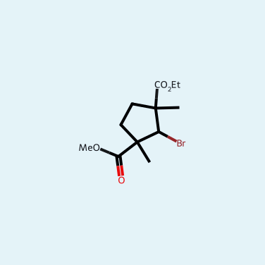 CCOC(=O)C1(C)CCC(C)(C(=O)OC)C1Br